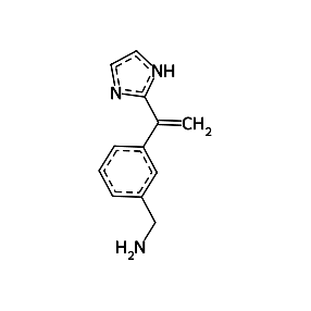 C=C(c1cccc(CN)c1)c1ncc[nH]1